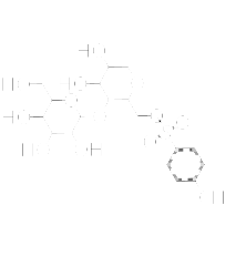 Cc1ccc(S(=O)(=O)OCC2OCC(O)C(O)C2OC2OC(CO)C(O)C(O)C2O)cc1